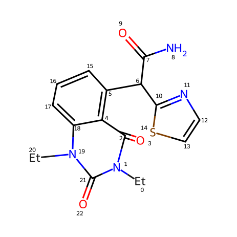 CCn1c(=O)c2c(C(C(N)=O)c3nccs3)cccc2n(CC)c1=O